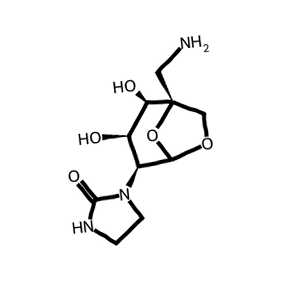 NC[C@@]12COC(O1)[C@@H](N1CCNC1=O)[C@@H](O)[C@H]2O